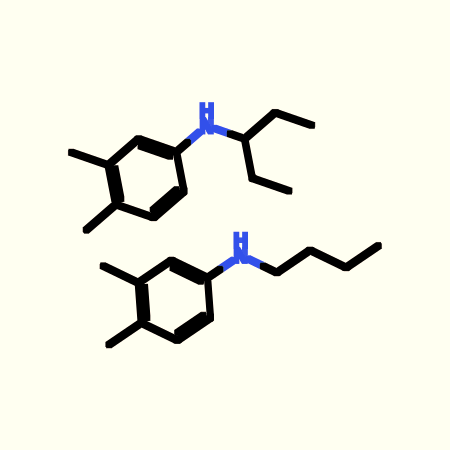 CCC(CC)Nc1ccc(C)c(C)c1.CCCCNc1ccc(C)c(C)c1